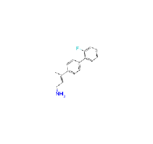 CC(=CCN)c1ccc(-c2ccccc2F)cc1